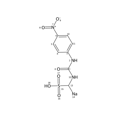 O=C(Nc1ccc([N+](=O)[O-])cc1)N[CH]([Na])S(=O)(=O)O